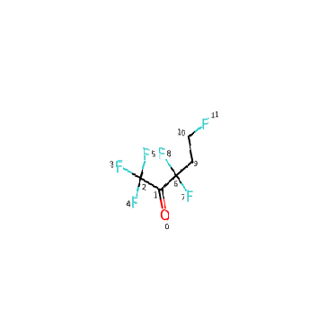 O=C(C(F)(F)F)C(F)(F)CCF